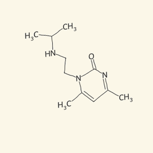 Cc1cc(C)n(CCNC(C)C)c(=O)n1